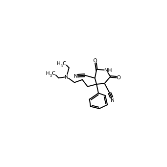 CCN(CC)CCCC1(c2ccccc2)C(C#N)C(=O)NC(=O)C1C#N